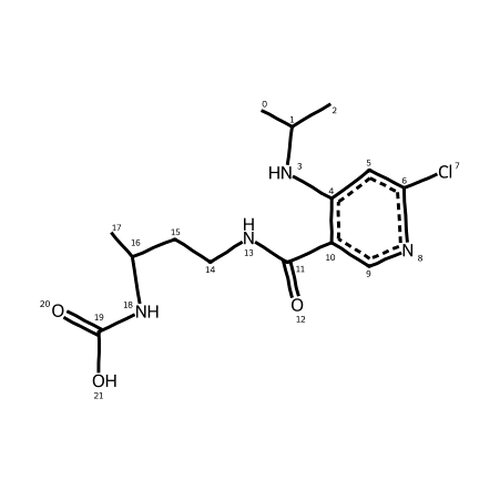 CC(C)Nc1cc(Cl)ncc1C(=O)NCCC(C)NC(=O)O